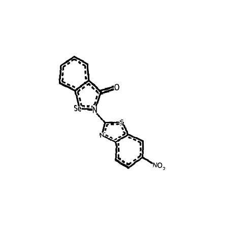 O=c1c2ccccc2[se]n1-c1nc2ccc([N+](=O)[O-])cc2s1